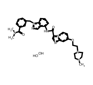 CN1CCN(CCOc2ccn3c(C(=O)Nc4cccc5c4cnn5Cc4cccc(C(=O)N(C)C)c4)cnc3c2)CC1.Cl.Cl